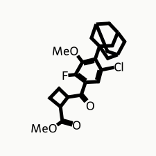 COC(=O)C1CCC1C(=O)c1cc(Cl)c(C23CC4CC(CC(C4)C2)C3)c(OC)c1F